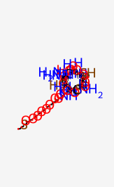 CCCCSCC(=O)CCCOCCOCCOCCOCCOCCCC(=O)COCC(=O)NCCCC[C@@H]1NC(=O)CSC[C@@H](C(N)=O)NC(=O)[C@H](Cc2ccccc2)CC(=O)[C@H](CS)NC(=O)[C@H](CC(=O)O)CC(=O)CNC(=O)[C@H](CCCNC(=N)N)CC(=O)[C@H](CS)NC1=O